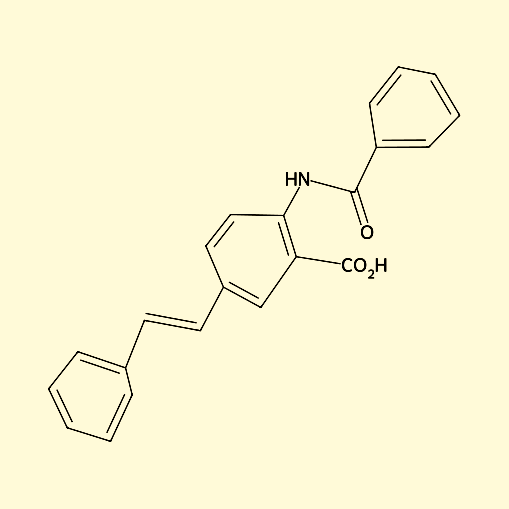 O=C(Nc1ccc(C=Cc2ccccc2)cc1C(=O)O)c1ccccc1